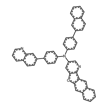 c1ccc2cc(-c3ccc(N(c4ccc(-c5ccc6cccnc6c5)cc4)c4cnc5c(c4)oc4cc6ccccc6cc45)cc3)ccc2c1